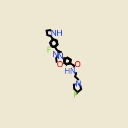 O=C(NCCCN1CCC(F)CC1)c1ccc2c(c1)OCc1nc(-c3ccc(C4CCCN4)cc3F)cn1-2